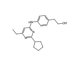 CCc1cc(Nc2ccc(CCO)cc2)nc(C2CCCC2)n1